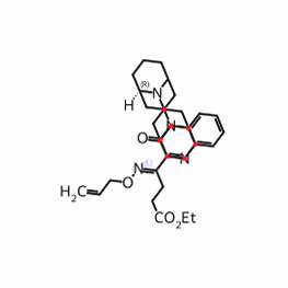 C=CCO/N=C(\CCC(=O)OCC)c1nc2ccccc2n(C2CC3CCC[C@H](C2)N3C2CC3CCCC(C3)C2)c1=O